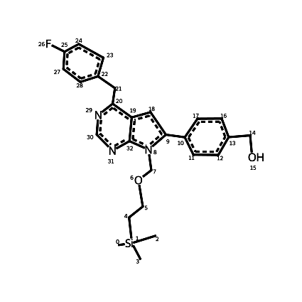 C[Si](C)(C)CCOCn1c(-c2ccc(CO)cc2)cc2c(Cc3ccc(F)cc3)ncnc21